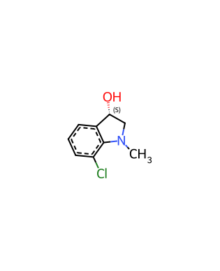 CN1C[C@@H](O)c2cccc(Cl)c21